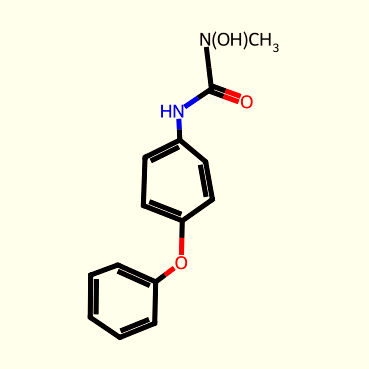 CN(O)C(=O)Nc1ccc(Oc2ccccc2)cc1